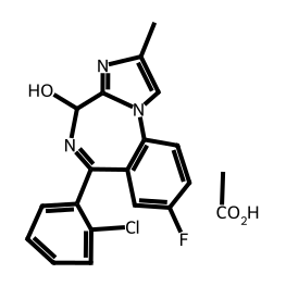 CC(=O)O.Cc1cn2c(n1)C(O)N=C(c1ccccc1Cl)c1cc(F)ccc1-2